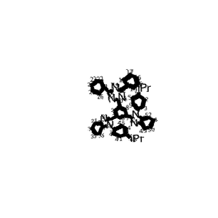 CC(C)c1ccc(-n2c(-c3cc(-c4nc(-c5ccccc5)nc(-c5ccccc5)n4)cc(-c4nc5ccccc5n4-c4ccc(C(C)C)cc4)c3)nc3ccccc32)cc1